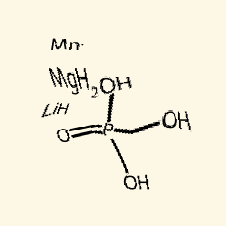 O=P(O)(O)O.[LiH].[MgH2].[Mn]